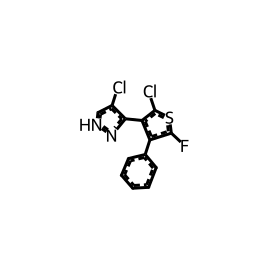 Fc1sc(Cl)c(-c2n[nH]cc2Cl)c1-c1ccccc1